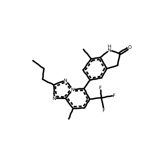 CCCc1nc2c(C)cc(C(F)(F)F)c(-c3cc(C)c4c(c3)CC(=O)N4)n2n1